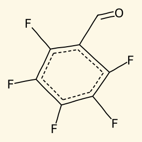 O=Cc1c(F)c(F)c(F)c(F)c1F